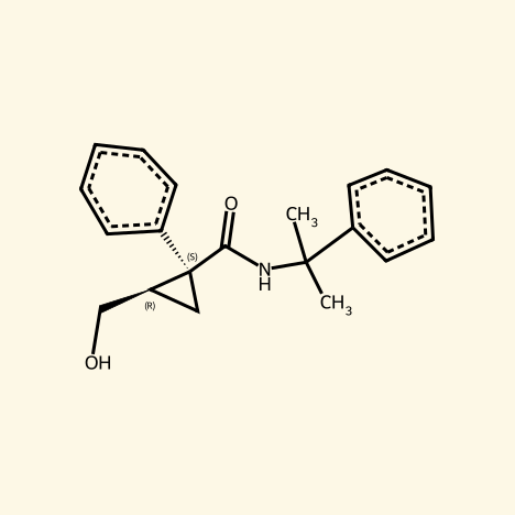 CC(C)(NC(=O)[C@@]1(c2ccccc2)C[C@H]1CO)c1ccccc1